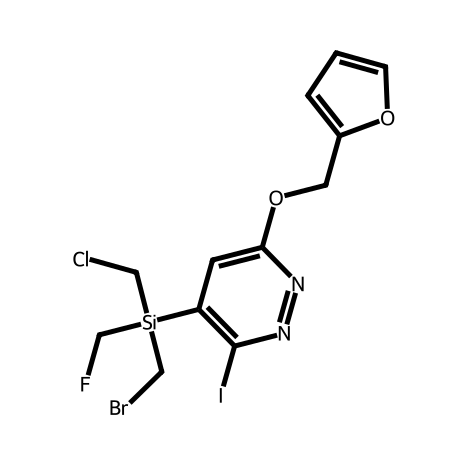 FC[Si](CCl)(CBr)c1cc(OCc2ccco2)nnc1I